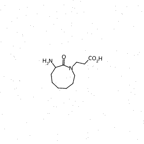 NC1CCCCCCN(CCC(=O)O)C1=O